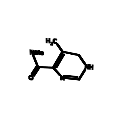 CNC(=O)C1=C(C)CNC=N1